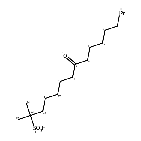 CC(C)CCCCCC(=O)CCCCCC(C)(C)S(=O)(=O)O